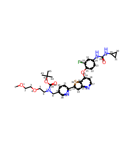 COCCOCCN(Cc1ccc(-c2cc3nccc(Oc4ccc(NC(=O)NC5CC5)cc4F)c3s2)nc1)C(=O)OC(C)(C)C